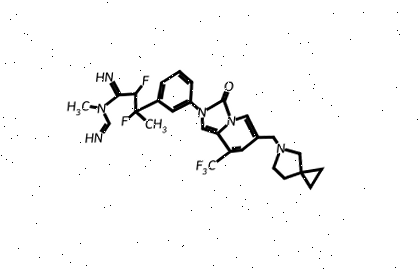 CN(C=N)C(=N)C(F)C(C)(F)c1cccc(-n2cc3c(C(F)(F)F)cc(CN4CCC5(CC5)C4)cn3c2=O)c1